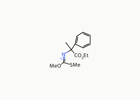 CCOC(=O)C(C)(/N=C(/OC)SC)c1ccccc1